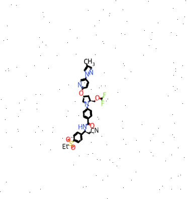 CCS(=O)(=O)c1ccc([C@H](CC#N)NC(=O)c2ccc(N3C[C@@H](Oc4ccc(-n5cc(C)cn5)cn4)C[C@H]3COC(F)F)cc2)cc1